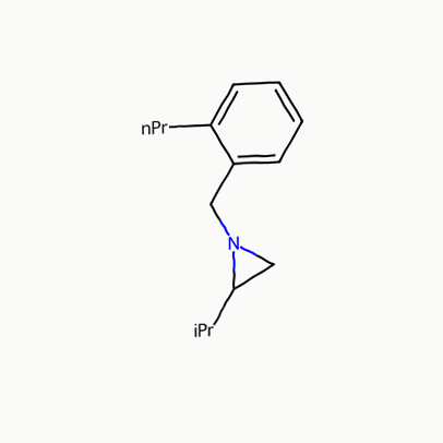 CCCc1ccccc1CN1CC1C(C)C